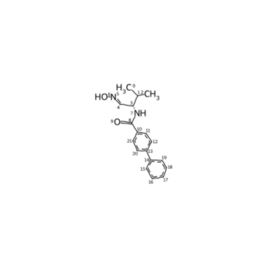 CC(C)[C@@H](/C=N/O)NC(=O)c1ccc(-c2ccccc2)cc1